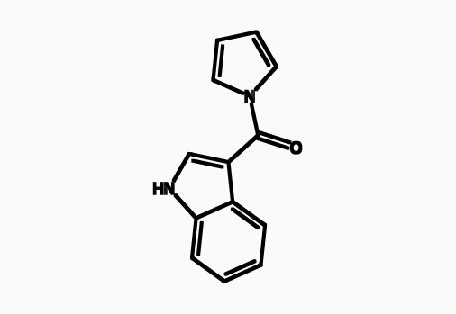 O=C(c1c[nH]c2ccccc12)n1cccc1